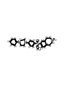 COc1cc2c(cc1S(=O)(=O)c1ccc(N3CCN(c4ccccc4)CC3)cc1)CCN(C)CC2